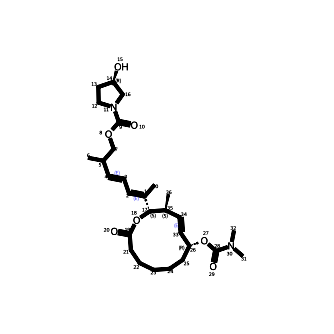 C/C(=C\C=C\C(C)COC(=O)N1CC[C@@H](O)C1)[C@H]1OC(=O)CCCCC[C@@H](OC(=O)N(C)C)/C=C/[C@@H]1C